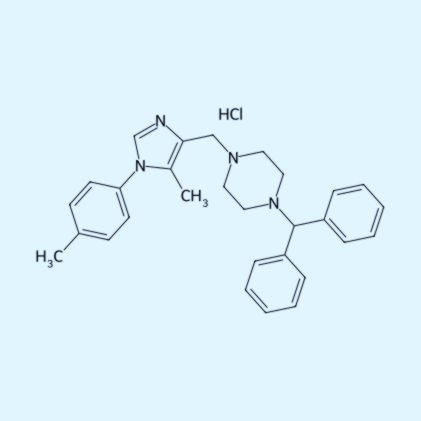 Cc1ccc(-n2cnc(CN3CCN(C(c4ccccc4)c4ccccc4)CC3)c2C)cc1.Cl